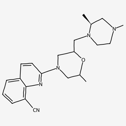 CC1CN(c2ccc3cccc(C#N)c3n2)CC(CN2CCN(C)C[C@@H]2C)O1